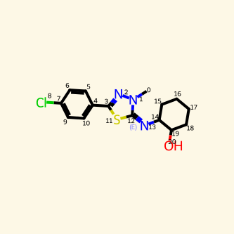 Cn1nc(-c2ccc(Cl)cc2)s/c1=N/C1CCCCC1O